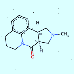 CN1C[C@@H]2c3cccc4c3N(CCC4)C(=O)[C@@H]2C1